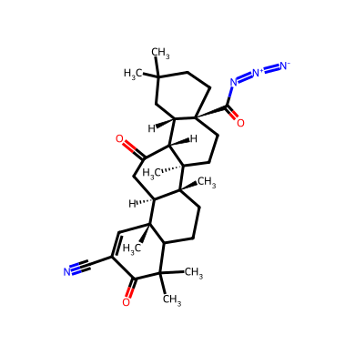 CC1(C)CC[C@]2(C(=O)N=[N+]=[N-])CC[C@]3(C)[C@H](C(=O)C[C@@H]4[C@@]5(C)C=C(C#N)C(=O)C(C)(C)C5CC[C@]43C)[C@@H]2C1